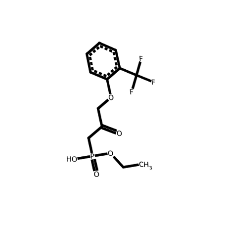 CCOP(=O)(O)CC(=O)COc1ccccc1C(F)(F)F